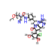 CCOC(C)(C)/C=C(\C#N)C(=O)Nc1cccc(CCn2c(=O)c(-c3cc(OC)cc(OC)c3Cl)cc3cnc(NC)nc32)c1